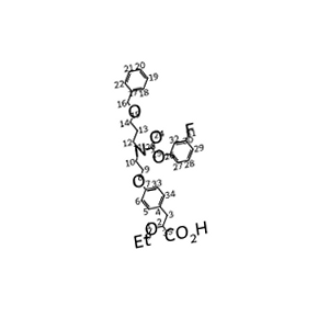 CCOC(Cc1ccc(OCCN(CCCOCc2ccccc2)C(=O)Oc2cccc(F)c2)cc1)C(=O)O